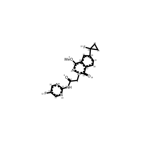 COc1nn(CC(=O)Nc2ncc(F)cn2)c(=O)c2ccc(C3(F)CC3)cc12